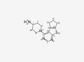 NC1CCN(c2ncnc3sc4c(c23)CCC4)CC1